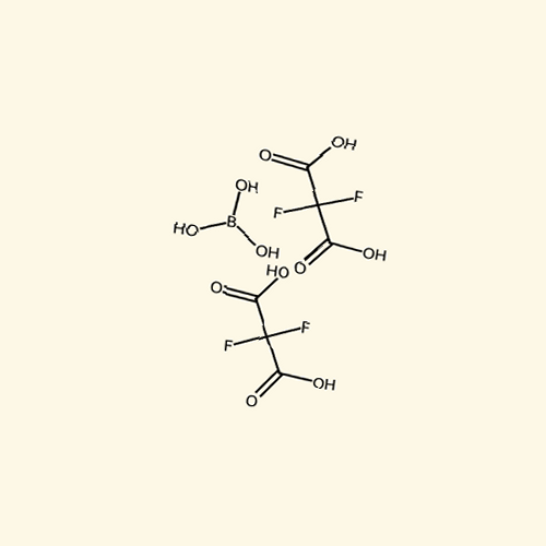 O=C(O)C(F)(F)C(=O)O.O=C(O)C(F)(F)C(=O)O.OB(O)O